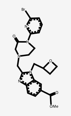 COC(=O)c1ccc2nc(CN3CCN(c4cccc(Br)n4)C(=O)C3)n(CC3CCO3)c2c1